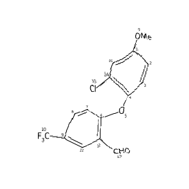 COc1ccc(Oc2ccc(C(F)(F)F)cc2C=O)c(Cl)c1